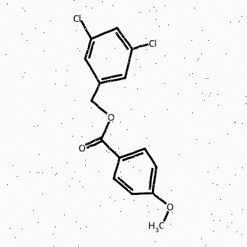 COc1ccc(C(=O)OCc2cc(Cl)cc(Cl)c2)cc1